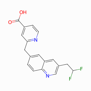 O=C(O)c1ccnc(Cc2ccc3ncc(CC(F)F)cc3c2)c1